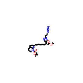 CCOC(=O)C[C@H](CCCCCCc1ccc2c(n1)N(C(=O)OC(C)(C)C)CCC2)c1cnc(CCCN=[N+]=[N-])nc1